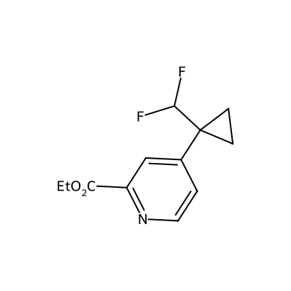 CCOC(=O)c1cc(C2(C(F)F)CC2)ccn1